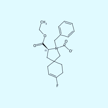 CCOC(=O)[C@@H]1CC2(CC=C(F)CC2)C[N+]1(Cc1ccccc1)C(=O)[O-]